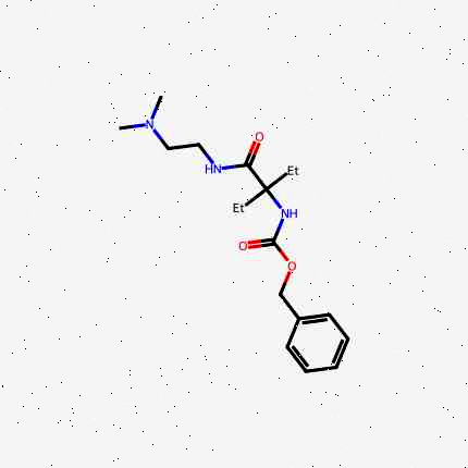 CCC(CC)(NC(=O)OCc1ccccc1)C(=O)NCCN(C)C